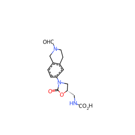 O=CN1CCc2cc(N3C[C@H](CNC(=O)O)OC3=O)ccc2C1